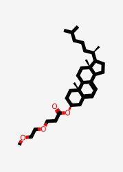 COCCOCCC(=O)O[C@H]1CC[C@@]2(C)C(=CC=C3C4CCC([C@H](C)CCCC(C)C)[C@@]4(C)CCC32)C1